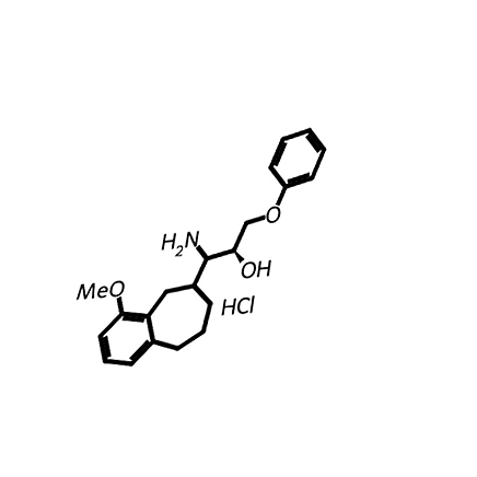 COc1cccc2c1CC(C(N)[C@H](O)COc1ccccc1)CCC2.Cl